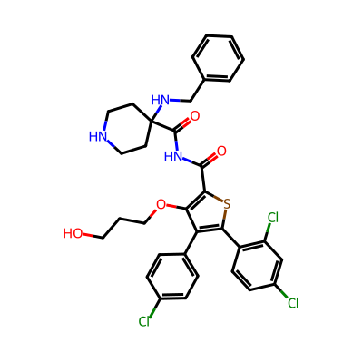 O=C(NC(=O)C1(NCc2ccccc2)CCNCC1)c1sc(-c2ccc(Cl)cc2Cl)c(-c2ccc(Cl)cc2)c1OCCCO